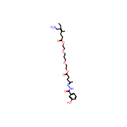 CC/C(CN)=C(\C)CCC(=O)OCCOCCCOCCOC(=O)CC/C(C)=N/NC(=O)c1cccc(O)c1